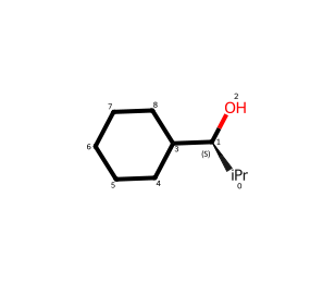 CC(C)[C@H](O)C1CCCCC1